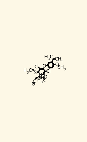 CCSC1C(Cl)=C(Oc2ccc(OC)c(C(C)C)c2)C(Cl)=C(OC)N1NC=C=O